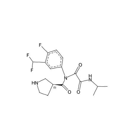 CC(C)NC(=O)C(=O)N(C(=O)[C@H]1CCNC1)c1ccc(F)c(C(F)F)c1